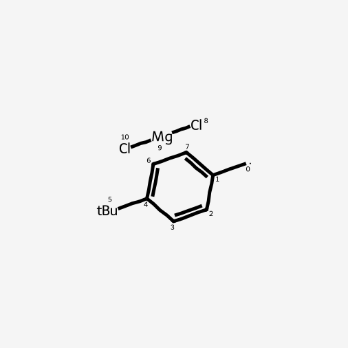 [CH2]c1ccc(C(C)(C)C)cc1.[Cl][Mg][Cl]